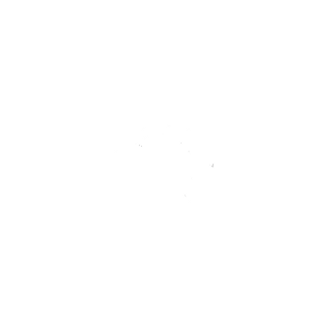 O=C(CC(C(=O)O)C1CCCCC1)Nc1ccc2ccc(-c3nc(C4CCS(=O)(=O)C4)cs3)cc2c1